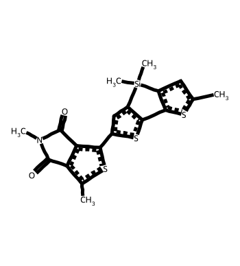 Cc1cc2c(s1)-c1sc(-c3sc(C)c4c3C(=O)N(C)C4=O)cc1[Si]2(C)C